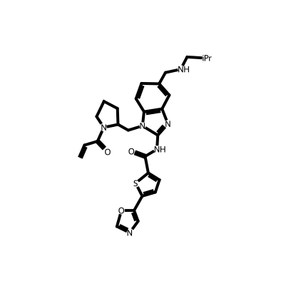 C=CC(=O)N1CCCC1Cn1c(NC(=O)c2ccc(-c3cnco3)s2)nc2cc(CNCC(C)C)ccc21